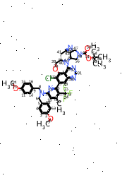 COc1ccc(CN(Cc2ccc(OC)cc2)c2cc(C)c(C(F)(F)F)c(-c3cc4ncnc5c4c(c3Cl)OC[C@H](CC#N)N5C3CCN(C(=O)OC(C)(C)C)C3)n2)cc1